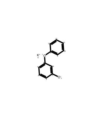 [K+].[O-]c1cccc(Oc2ccccc2)c1